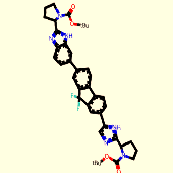 CC(C)(C)OC(=O)N1CCCC1c1ncc(-c2ccc3c(c2)C(F)(F)c2cc(-c4ccc5nc(C6CCCN6C(=O)OC(C)(C)C)[nH]c5c4)ccc2-3)[nH]1